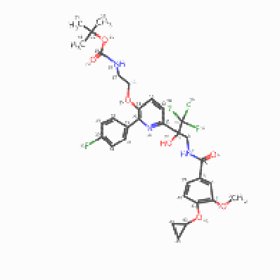 COc1cc(C(=O)NCC(O)(c2ccc(OCCNC(=O)OC(C)(C)C)c(-c3ccc(F)cc3)n2)C(F)(F)F)ccc1OC1CC1